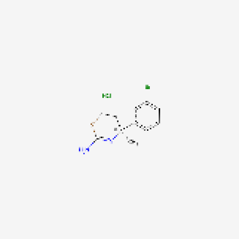 C[C@@]1(c2cccc(Br)c2)CCSC(N)=N1.Cl